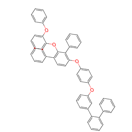 c1ccc(Oc2ccccc2Oc2c(-c3ccccc3)ccc(Oc3ccc(Oc4cccc(-c5ccccc5-c5ccccc5)c4)cc3)c2-c2ccccc2)cc1